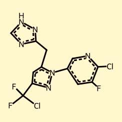 Fc1cc(-n2nc(C(F)(F)Cl)cc2Cc2nc[nH]n2)cnc1Cl